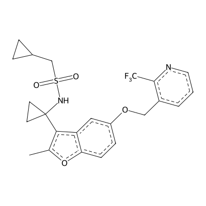 Cc1oc2ccc(OCc3cccnc3C(F)(F)F)cc2c1C1(NS(=O)(=O)CC2CC2)CC1